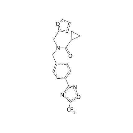 O=C(C1CC1)N(Cc1ccc(-c2noc(C(F)(F)F)n2)cc1)Cc1ccco1